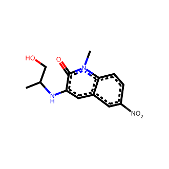 CC(CO)Nc1cc2cc([N+](=O)[O-])ccc2n(C)c1=O